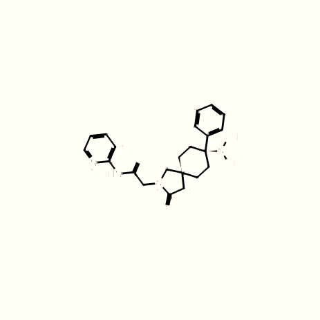 CN(C)[C@]1(c2ccccc2)CC[C@@]2(CC1)CC(=O)N(CC(=O)Nc1ccccn1)C2